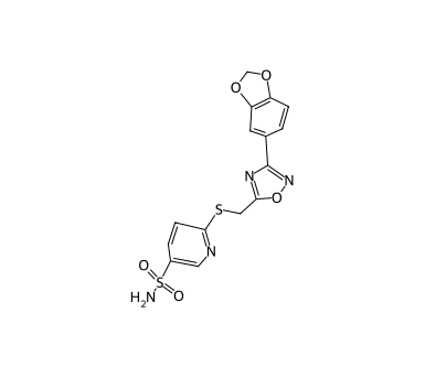 NS(=O)(=O)c1ccc(SCc2nc(-c3ccc4c(c3)OCO4)no2)nc1